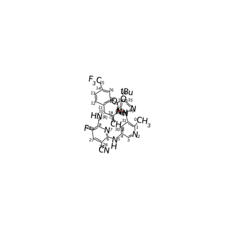 Cc1ncc(Nc2nc(N[C@H](c3ccc(C(F)(F)F)cc3)[C@H](C)NC(=O)OC(C)(C)C)c(F)cc2C#N)cc1-n1nccn1